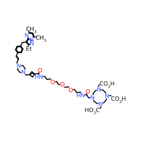 CCc1nn2c(C)cc(C)nc2c1Cc1ccc(/C=C/CN2CCN(CC34CC(C(=O)NCCCOCCOCCOCCCNC(=O)CN5CCN(CC(=O)O)CCN(CC(=O)O)CCN(CC(=O)O)CC5)(C3)C4)CC2)cc1